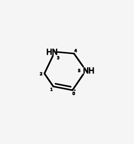 [C]1=CCNCN1